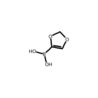 OB(O)C1=COCO1